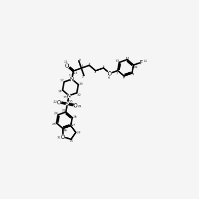 CC(C)(CCCOc1ccc(F)cc1)C(=O)N1CCN(S(=O)(=O)c2ccc3c(c2)CCO3)CC1